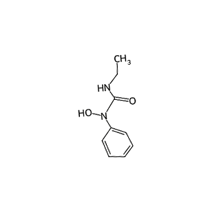 CCNC(=O)N(O)c1ccccc1